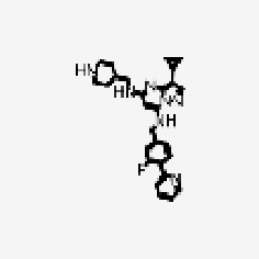 Fc1cc(CNc2cc(NCC3CCNCC3)nc3c(C4CC4)cnn23)ccc1-c1ccccn1